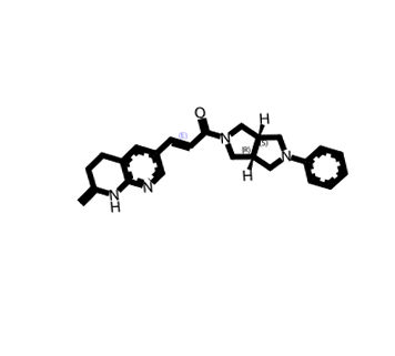 C=C1CCc2cc(/C=C/C(=O)N3C[C@@H]4CN(c5ccccc5)C[C@@H]4C3)cnc2N1